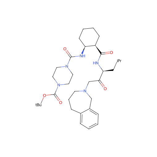 CC(C)C[C@H](NC(=O)[C@@H]1CCCC[C@@H]1NC(=O)N1CCN(C(=O)OC(C)(C)C)CC1)C(=O)CN1CCCc2ccccc2C1